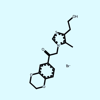 Cc1c(CCO)sc[n+]1CC(=O)c1ccc2c(c1)OCCO2.[Br-]